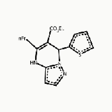 CCCC1=C(C(=O)OCC)C(c2cccs2)n2nccc2N1